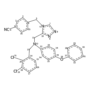 N#Cc1ccc(Cn2cnnc2CN(Cc2cccc(Cl)c2Cl)c2ccc(Oc3ccccc3)cc2)cc1